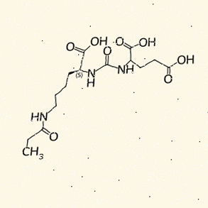 CCC(=O)NCCCC[C@H](NC(=O)NC(CCC(=O)O)C(=O)O)C(=O)O